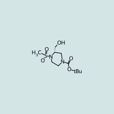 CC(C)(C)OC(=O)N1CCN(S(C)(=O)=O)[C@H](CO)C1